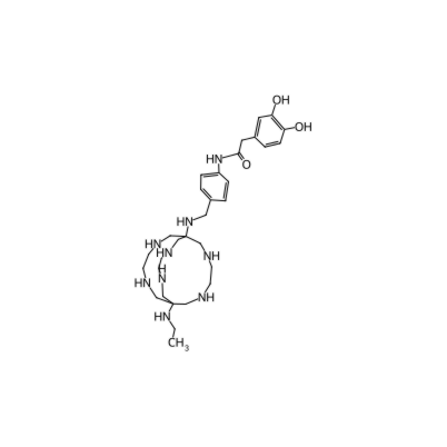 CCNC12CNCCNCC(NCc3ccc(NC(=O)Cc4ccc(O)c(O)c4)cc3)(CNCCNC1)CNCCNC2